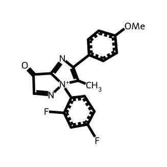 COc1ccc(C2=C(C)[N+]3(c4ccc(F)cc4F)N=CC(=O)C3=N2)cc1